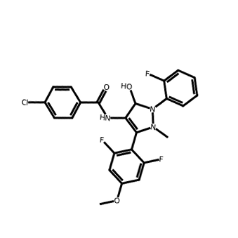 COc1cc(F)c(C2=C(NC(=O)c3ccc(Cl)cc3)C(O)N(c3ccccc3F)N2C)c(F)c1